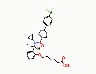 [2H]C([2H])(c1ccccc1OCCCCCC(=O)O)N(C(=O)c1ccc(-c2ccc(C(F)(F)F)cc2)cc1)C1CC1